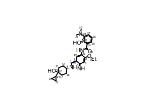 CCOC1=CC(=N)/C(=C\N[C@H]2CC[C@@](O)(C3CC3)CC2)C=C1NC(=O)c1cccc(N(C)C)[n+]1O